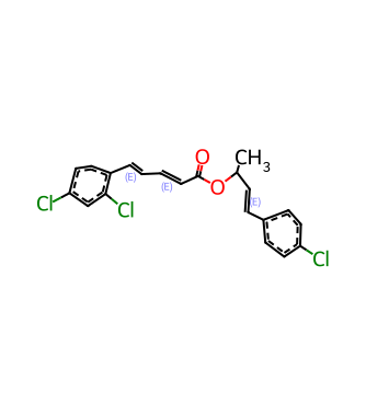 CC(/C=C/c1ccc(Cl)cc1)OC(=O)/C=C/C=C/c1ccc(Cl)cc1Cl